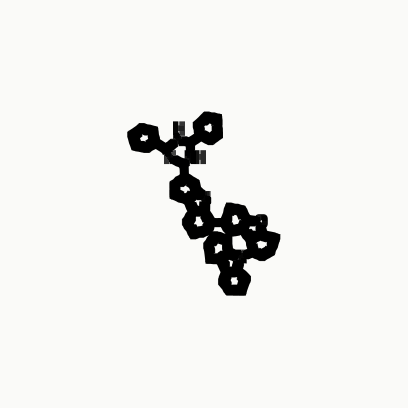 c1ccc(C2=NC(c3ccc4c(c3)sc3c(-c5ccc6oc7cccc(-n8c9ccccc9c9ccccc98)c7c6c5)cccc34)NC(c3ccccc3)N2)cc1